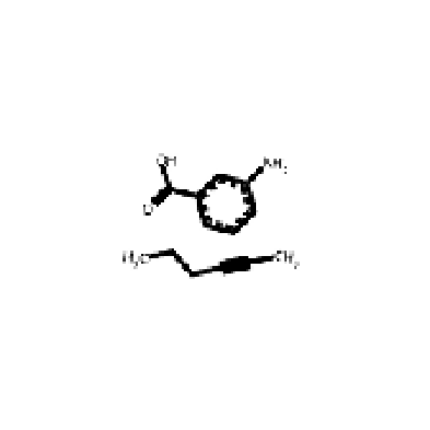 CC#CCCC.Nc1cccc(C(=O)O)c1